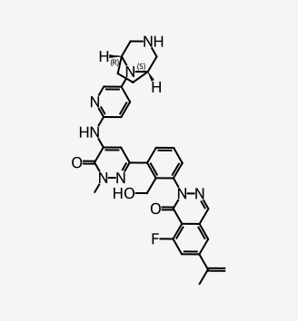 C=C(C)c1cc(F)c2c(=O)n(-c3cccc(-c4cc(Nc5ccc(N6[C@@H]7CC[C@H]6CNC7)cn5)c(=O)n(C)n4)c3CO)ncc2c1